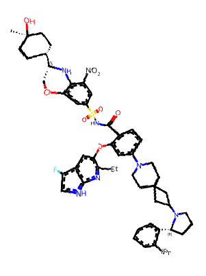 CCc1nc2[nH]cc(F)c2cc1Oc1cc(N2CCC3(CC2)CC(N2CCC[C@@H]2c2ccccc2C(C)C)C3)ccc1C(=O)NS(=O)(=O)c1cc2c(c([N+](=O)[O-])c1)N[C@@H]([C@H]1CC[C@](C)(O)CC1)CO2